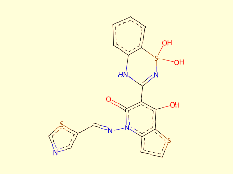 O=c1c(C2=NS(O)(O)c3ccccc3N2)c(O)c2sccc2n1N=Cc1cncs1